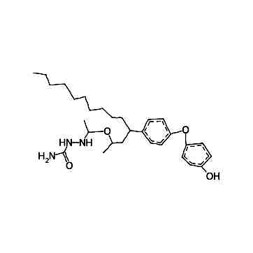 CCCCCCCCCCC(CC(C)OC(C)NNC(N)=O)c1ccc(Oc2ccc(O)cc2)cc1